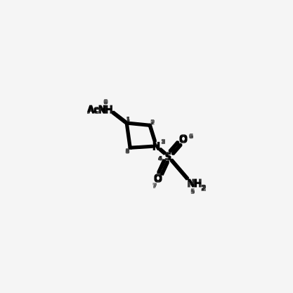 CC(=O)NC1CN(S(N)(=O)=O)C1